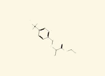 CCOC(=O)C(C)NCc1ccc(C(F)(F)F)cc1